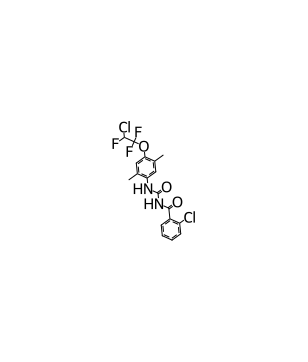 Cc1cc(OC(F)(F)C(F)Cl)c(C)cc1NC(=O)NC(=O)c1ccccc1Cl